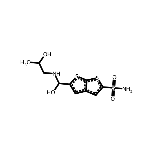 CC(O)CNC(O)c1cc2cc(S(N)(=O)=O)sc2s1